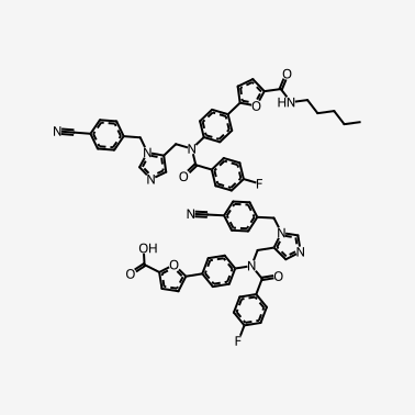 CCCCCNC(=O)c1ccc(-c2ccc(N(Cc3cncn3Cc3ccc(C#N)cc3)C(=O)c3ccc(F)cc3)cc2)o1.N#Cc1ccc(Cn2cncc2CN(C(=O)c2ccc(F)cc2)c2ccc(-c3ccc(C(=O)O)o3)cc2)cc1